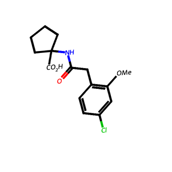 COc1cc(Cl)ccc1CC(=O)NC1(C(=O)O)CCCC1